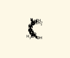 CC(C)Oc1ccc(-c2nc(-c3ccc4c(c3)CCN(C(C)C(=O)NCCO)CC4)no2)cc1C#N